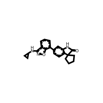 O=C1Nc2cc(-c3cccc4c(NC5CC5)noc34)ccc2C12CCCC2